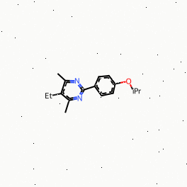 CCc1c(C)nc(-c2ccc(OC(C)C)cc2)nc1C